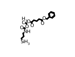 CC(OC(=O)CCCC(=O)OCc1ccccc1)OC(=O)NCCC[SiH3]